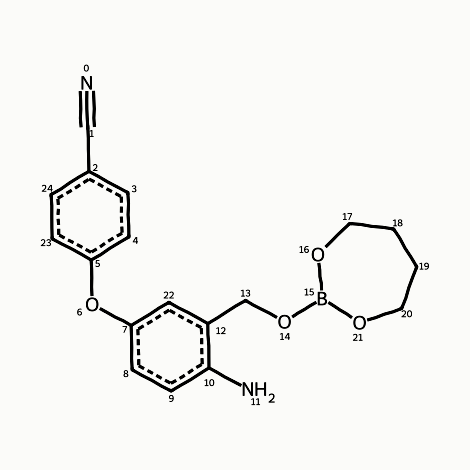 N#Cc1ccc(Oc2ccc(N)c(COB3OCCCCO3)c2)cc1